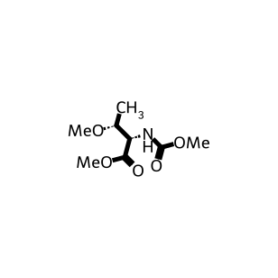 COC(=O)N[C@H](C(=O)OC)[C@@H](C)OC